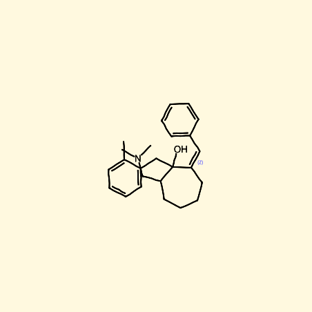 Cc1ccccc1CC1(O)/C(=C\c2ccccc2)CCCCC1CN(C)C